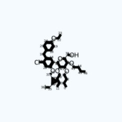 CCCCOC1[C@@H](OCCCC)[C@H](c2cc(Cc3ccc(OCC)cc3)c(Cl)cc2OC[C@@H]2C[C@@H]2CI)O[C@H](CO)[C@H]1OCCCC